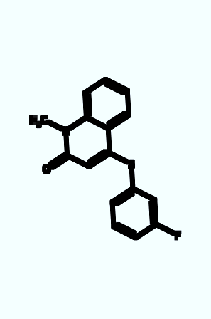 Cn1c(=O)cc(Sc2cccc(F)c2)c2ccccc21